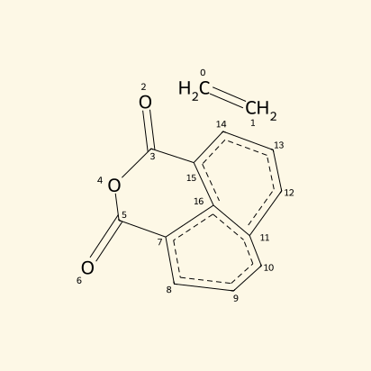 C=C.O=C1OC(=O)c2cccc3cccc1c23